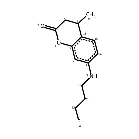 CC1CC(=O)Oc2cc(NCCCF)ccc21